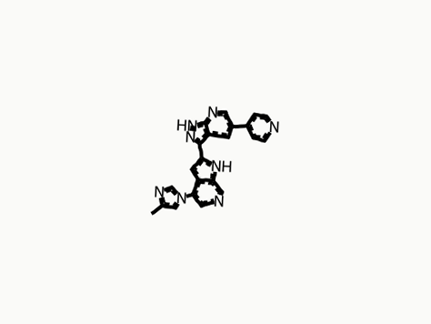 Cc1cn(-c2cncc3[nH]c(-c4n[nH]c5ncc(-c6ccncc6)cc45)cc23)cn1